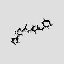 O=C(Nc1cnn(Cc2ccccc2)c1)c1cc(-c2cnsc2)on1